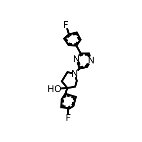 OC1(c2ccc(F)cc2)CCN(c2cncc(-c3ccc(F)cc3)n2)CC1